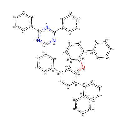 c1ccc(-c2nc(-c3ccccc3)nc(-c3cccc(-c4ccc(-c5cccc6ccccc56)c5oc6c(-c7ccccc7)cccc6c45)c3)n2)cc1